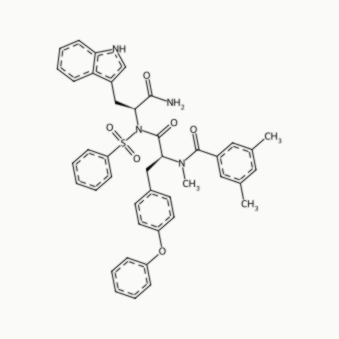 Cc1cc(C)cc(C(=O)N(C)[C@@H](Cc2ccc(Oc3ccccc3)cc2)C(=O)N([C@@H](Cc2c[nH]c3ccccc23)C(N)=O)S(=O)(=O)c2ccccc2)c1